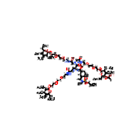 CC(=O)NC1C(OCCOCCOCCNC(=O)CCC(NC(=O)C2CC[C@H]3OP(OCCC#N)N(C(C)C)C(C)C3C2)C(=O)N(CC(=O)NCCOCCOCCOC2OC(COC(C)=O)C(OC(C)=O)C(OC(C)=O)C2NC(C)=O)CC(=O)NCCOCCOCCOC2OC(COC(C)=O)C(OC(C)O)C(OC(C)=O)C2NC(C)=O)OC(COC(C)=O)C(OC(C)=O)C1OC(C)=O